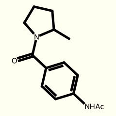 CC(=O)Nc1ccc(C(=O)N2CCCC2C)cc1